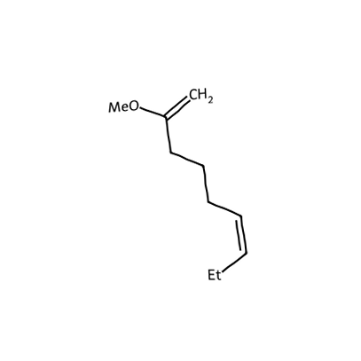 C=C(CCC/C=C\CC)OC